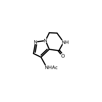 CC(=O)Nc1cnn2c1C(=O)NCC2